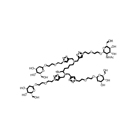 CC(=O)N[C@H]1[C@H](OCCOCCn2cc(CN(CCCCC(N(Cc3cn(CCOCCO[C@H]4C[C@@H](O)[C@@H](O)[C@@H](CO)O4)nn3)Cc3cn(CCOCCO[C@H]4C[C@@H](O)[C@@H](O)[C@@H](CO)O4)nn3)C(C)(C)C)Cc3cn(CCOCCO[C@H]4C[C@@H](O)[C@@H](O)[C@@H](CO)O4)nn3)nn2)O[C@H](CO)[C@H](O)[C@@H]1O